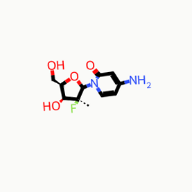 C[C@@]1(F)C(n2ccc(N)cc2=O)O[C@H](CO)[C@@H]1O